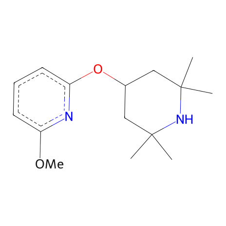 COc1cccc(OC2CC(C)(C)NC(C)(C)C2)n1